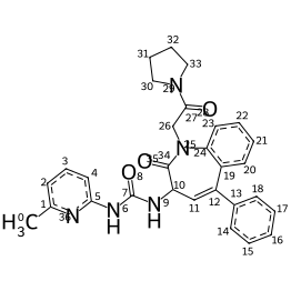 Cc1cccc(NC(=O)NC2C=C(c3ccccc3)c3ccccc3N(CC(=O)N3CCCC3)C2=O)n1